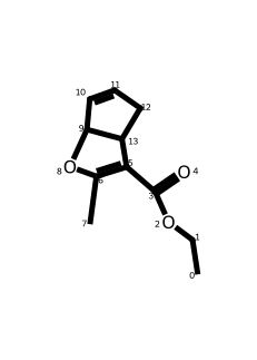 CCOC(=O)C1=C(C)OC2C=CCC12